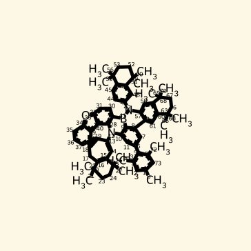 Cc1cc(C)c(-c2cc3c4c(c2)N(C2=CC5=C(CC#C2)C(C)(C)CCC5(C)C)c2c(ccc5oc6ccccc6c25)B4N(c2ccc4c(c2)C(C)(C)CCC4(C)C)c2cc4c(cc2-3)C(C)(C)CCC4(C)C)c(C)c1